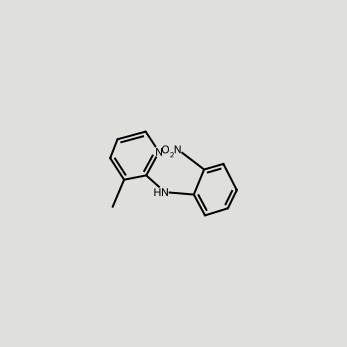 Cc1cccnc1Nc1ccccc1[N+](=O)[O-]